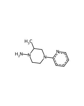 CC1CN(c2ccccn2)CCN1N